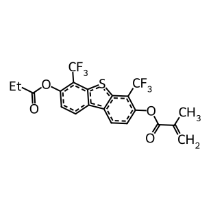 C=C(C)C(=O)Oc1ccc2c(sc3c(C(F)(F)F)c(OC(=O)CC)ccc32)c1C(F)(F)F